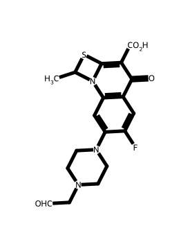 CC1Sc2c(C(=O)O)c(=O)c3cc(F)c(N4CCN(CC=O)CC4)cc3n21